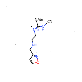 CN/C(=N/CCNCc1ccon1)NC#N